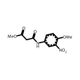 COC(=O)CC(=O)Nc1ccc(OC)c([N+](=O)[O-])c1